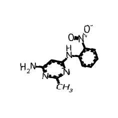 Cc1nc(N)cc(Nc2ccccc2[N+](=O)[O-])n1